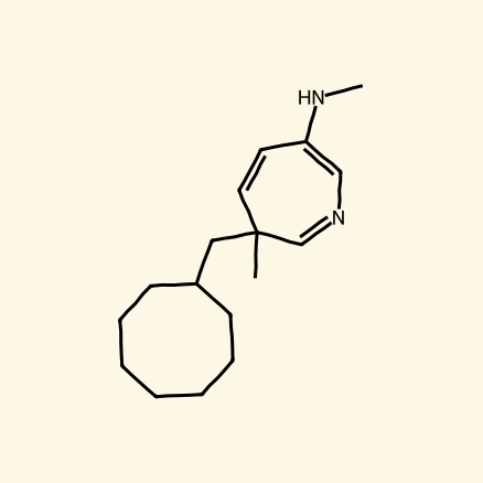 CNC1=CN=CC(C)(CC2CCCCCCC2)C=C1